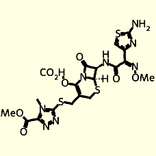 CO/N=C(\C(=O)N[C@@H]1C(=O)N2C(OC(=O)O)=C(CSc3nnc(C(=O)OC)n3C)CS[C@H]12)c1csc(N)n1